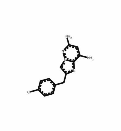 Nc1cc(N)c2nc(Cc3ccc(Cl)cc3)cn2n1